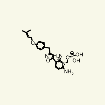 CC(C)=CCOc1ccc(Cc2cc(-c3ccc(N)[n+](COP(=O)(O)O)c3N)on2)cc1